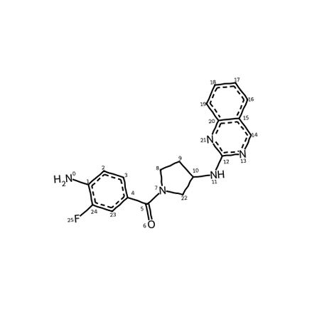 Nc1ccc(C(=O)N2CCC(Nc3ncc4ccccc4n3)C2)cc1F